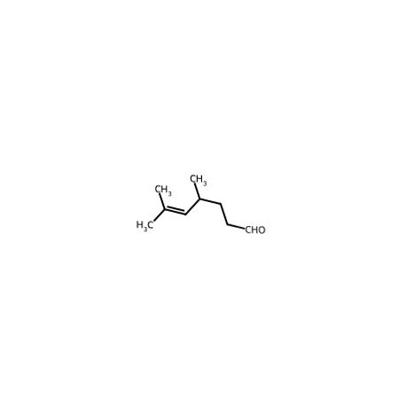 CC(C)=CC(C)CCC=O